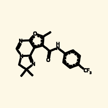 Cc1oc2c(c1C(=O)Nc1ccc(C(F)(F)F)cc1)C1=NC(C)(C)CN1C=N2